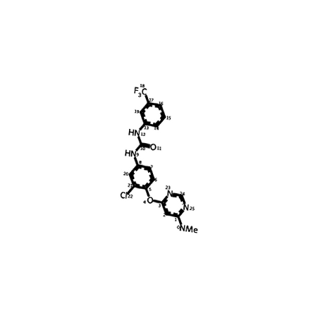 CNc1cc(Oc2ccc(NC(=O)Nc3cccc(C(F)(F)F)c3)cc2Cl)ncn1